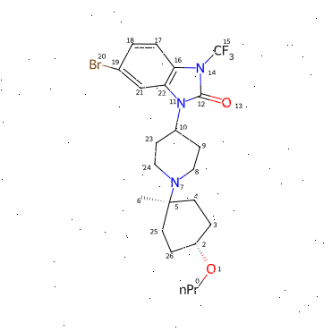 CCCO[C@H]1CC[C@](C)(N2CCC(n3c(=O)n(C(F)(F)F)c4ccc(Br)cc43)CC2)CC1